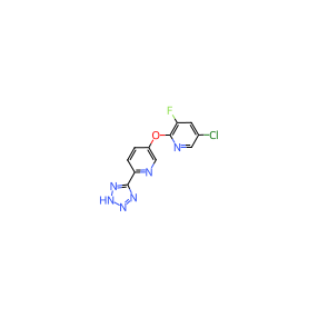 Fc1cc(Cl)cnc1Oc1ccc(-c2nn[nH]n2)nc1